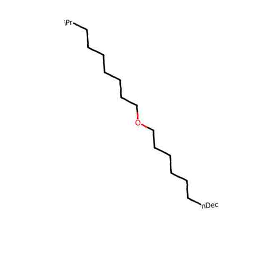 CCCCCCCCCCCCCCCCOCCCCCCCC(C)C